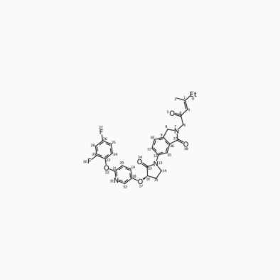 CC/C(C)=C/C(=O)CN1Cc2ccc(N3CC[C@@H](Oc4ccc(Oc5ccc(F)cc5F)nc4)C3=O)cc2C1=O